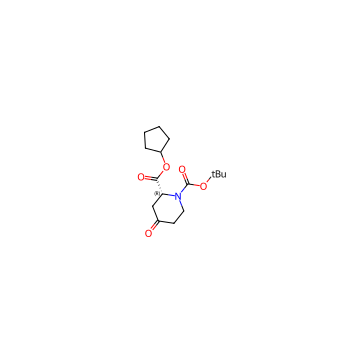 CC(C)(C)OC(=O)N1CCC(=O)C[C@@H]1C(=O)OC1CCCC1